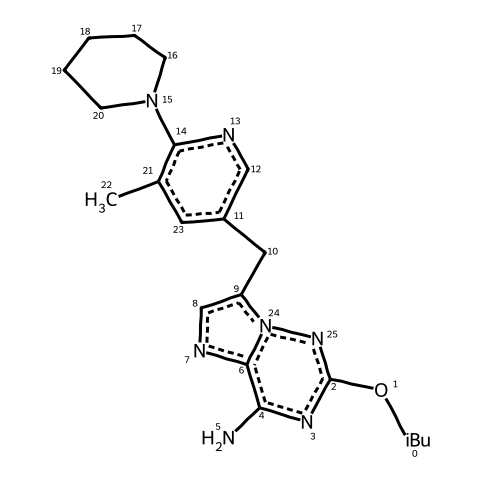 CCC(C)Oc1nc(N)c2ncc(Cc3cnc(N4CCCCC4)c(C)c3)n2n1